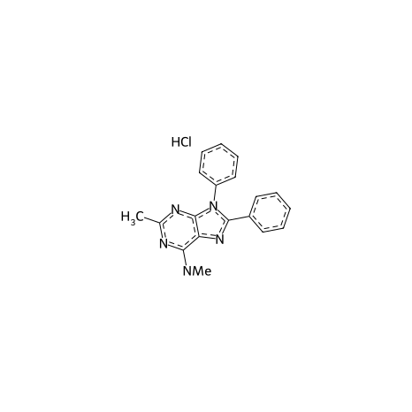 CNc1nc(C)nc2c1nc(-c1ccccc1)n2-c1ccccc1.Cl